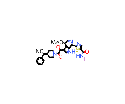 COc1cnc(-c2ncc(C(=O)NI)s2)c2[nH]cc(C(=O)C(=O)N3CCC(=C(C#N)c4ccccc4)CC3)c12